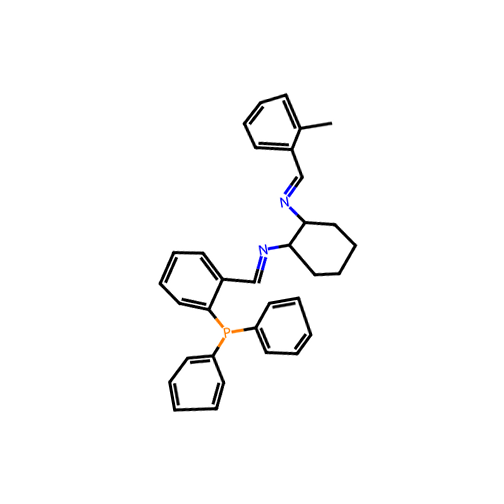 Cc1ccccc1/C=N/C1CCCCC1/N=C/c1ccccc1P(c1ccccc1)c1ccccc1